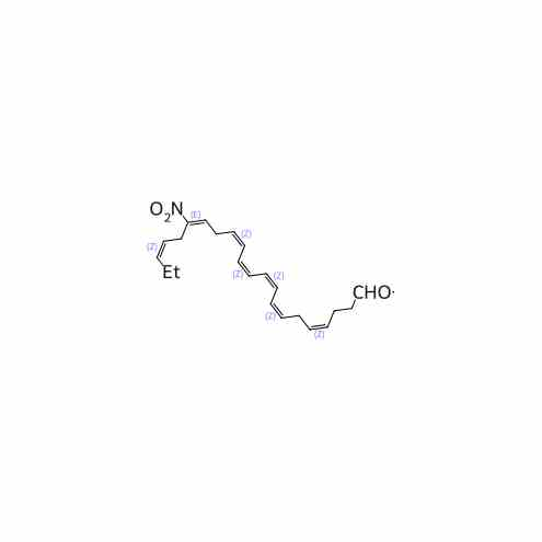 CC/C=C\C/C(=C\C\C=C/C=C\C=C/C=C\C/C=C\CC[C]=O)[N+](=O)[O-]